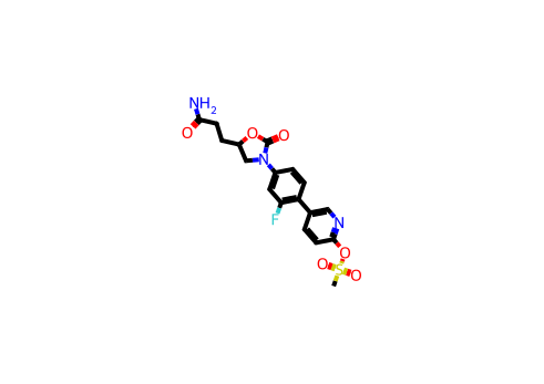 CS(=O)(=O)Oc1ccc(-c2ccc(N3CC(CCC(N)=O)OC3=O)cc2F)cn1